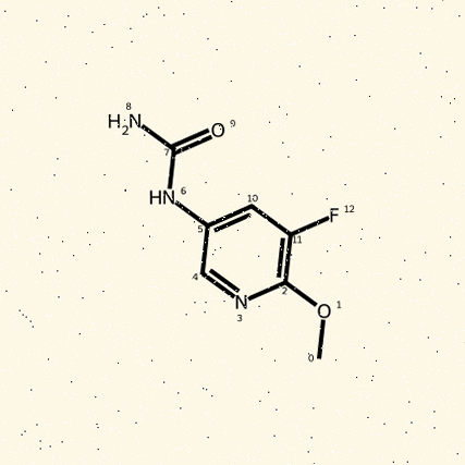 COc1ncc(NC(N)=O)cc1F